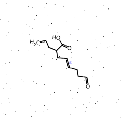 C=CCC(C/C=C/CCC=O)C(=O)O